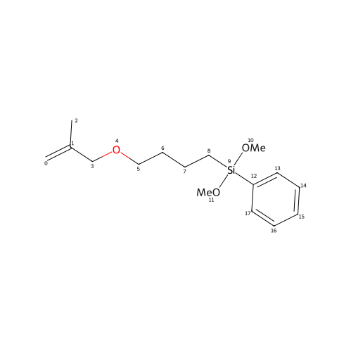 C=C(C)COCCCC[Si](OC)(OC)c1ccccc1